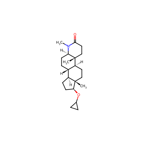 CN1C(=O)CC[C@]2(C)[C@H]3CC[C@]4(C)[C@@H](OC5CC5)CC[C@H]4[C@@H]3CC[C@@H]12